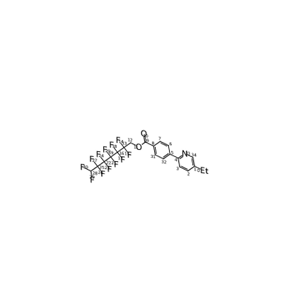 CCc1ccc(-c2ccc(C(=O)OCC(F)(F)C(F)(F)C(F)(F)C(F)(F)C(F)(F)C(F)F)cc2)nc1